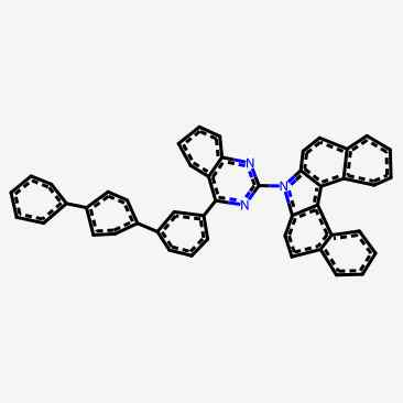 c1ccc(-c2ccc(-c3cccc(-c4nc(-n5c6ccc7ccccc7c6c6c7ccccc7ccc65)nc5ccccc45)c3)cc2)cc1